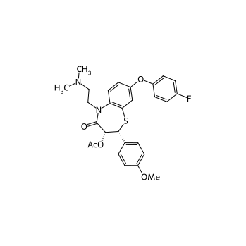 COc1ccc([C@H]2Sc3cc(Oc4ccc(F)cc4)ccc3N(CCN(C)C)C(=O)[C@H]2OC(C)=O)cc1